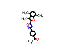 CC(=O)c1ccc(-c2noc(-c3oc4c(C)ccc(C)c4c3C)n2)cc1